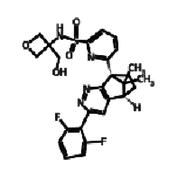 CC1(C)[C@H]2CC[C@]1(c1cccc(S(=O)(=O)NC3(CO)COC3)n1)c1nnc(-c3c(F)cccc3F)cc12